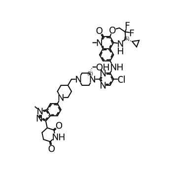 Cn1nc(C2CCC(=O)NC2=O)c2ccc(N3CCC(CN4CCN(c5ncc(Cl)c(Nc6ccc7c(c6)c6c(c(=O)n7C)OCC(F)(F)[C@H](C7CC7)N6)n5)[C@@H](CO)C4)CC3)cc21